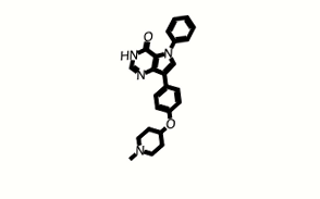 CN1CCC(Oc2ccc(-c3cn(-c4ccccc4)c4c(=O)[nH]cnc34)cc2)CC1